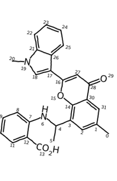 Cc1cc(C(C)Nc2ccccc2C(=O)O)c2oc(-c3cn(C)c4ccccc34)cc(=O)c2c1